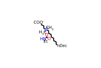 CCCCCCCCCCCCCCCCC(C[N+](C)(C)CCCC(=O)[O-])OC(=O)NCC